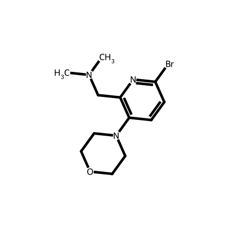 CN(C)Cc1nc(Br)ccc1N1CCOCC1